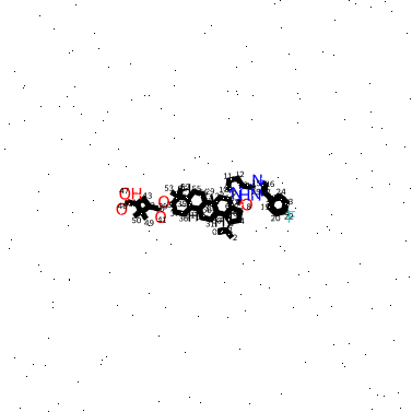 C=C(C)[C@@H]1CC[C@]2(C(=O)N3CCCC3c3ncc(-c4ccc(F)cc4)[nH]3)CC[C@]3(C)[C@H](CC[C@@H]4[C@@]5(C)CC[C@H](OC(=O)C6CC(C(=O)O)C6(C)C)C(C)(C)[C@@H]5CC[C@]43C)[C@@H]12